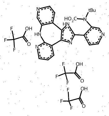 CC(C)(C)N(C(=O)O)c1cnccc1-c1nc2c([nH]1)-c1ccncc1Nc1ncccc1-2.O=C(O)C(F)(F)F.O=C(O)C(F)(F)F.O=C(O)C(F)(F)F